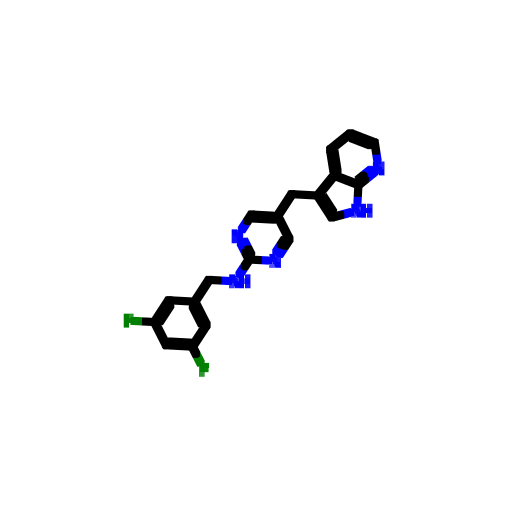 Fc1cc(F)cc(CNc2ncc(Cc3c[nH]c4ncccc34)cn2)c1